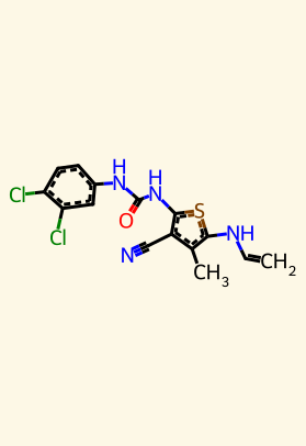 C=CNc1sc(NC(=O)Nc2ccc(Cl)c(Cl)c2)c(C#N)c1C